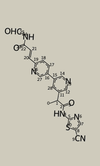 CC(C(=O)Nc1ncc(C#N)s1)c1cncc(-c2ccc(C=CC(=O)NC=O)nc2)c1